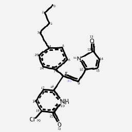 CCCCc1ccc(/C(=C\C2=NC(=O)C=C2)c2ccc(Cl)c(=O)[nH]2)cc1